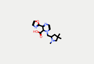 CN1CC(C)(C)CC1CN1C=CN=C(c2ncco2)C1C(=O)O